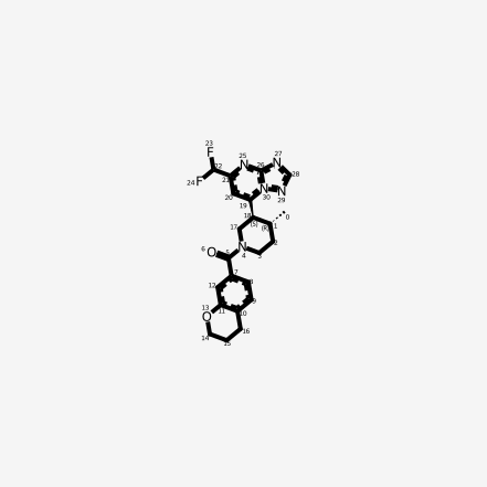 C[C@@H]1CCN(C(=O)c2ccc3c(c2)OCCC3)C[C@H]1c1cc(C(F)F)nc2ncnn12